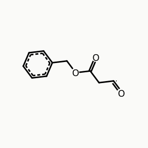 O=[C]CC(=O)OCc1ccccc1